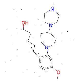 COc1[c]cc(CCCCCO)c(N2CCC(N3CCN(C)CC3)CC2)c1